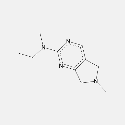 CCN(C)c1ncc2c(n1)CN(C)C2